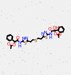 CC(=O)O[C@H](C(=O)Nc1nnc(CCSCCc2nnc(NC(=O)[C@](O)(OC(C)=O)c3ccccc3)s2)s1)c1ccccc1